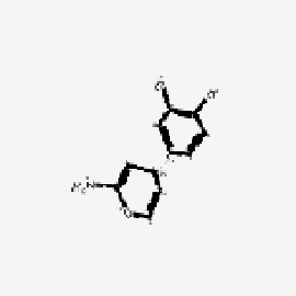 NC1=C[C@H](c2ccc(Cl)c(Cl)c2)C=CO1